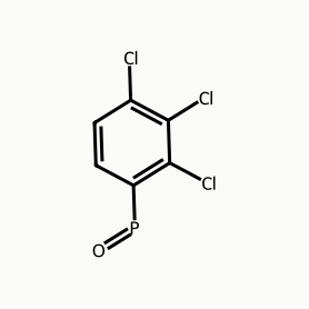 O=Pc1ccc(Cl)c(Cl)c1Cl